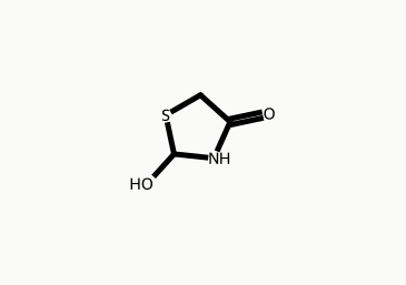 O=C1CSC(O)N1